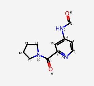 O=[C]Nc1ccnc(C(=O)N2CCCC2)c1